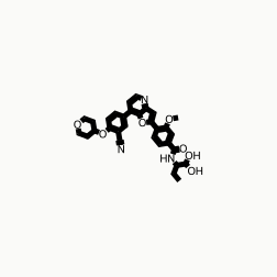 CCC(NC(=O)c1ccc(-c2cc3nccc(-c4ccc(OC5CCOCC5)c(C#N)c4)c3o2)c(OC)c1)C(O)O